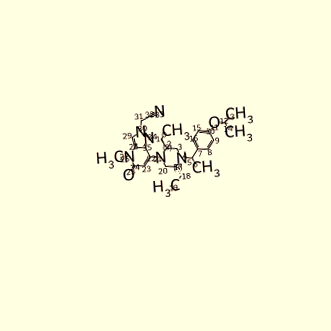 CC[C@H]1CN(C(C)c2ccc(OC(C)C)cc2)[C@H](CC)CN1c1cc(=O)n(C)c2cn(CC#N)nc12